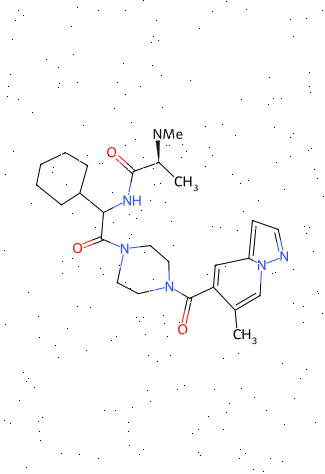 CN[C@@H](C)C(=O)NC(C(=O)N1CCN(C(=O)c2cc3ccnn3cc2C)CC1)C1CCCCC1